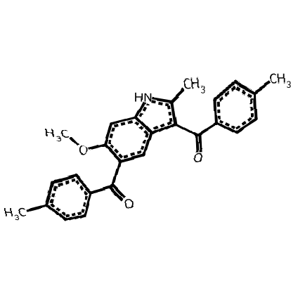 COc1cc2[nH]c(C)c(C(=O)c3ccc(C)cc3)c2cc1C(=O)c1ccc(C)cc1